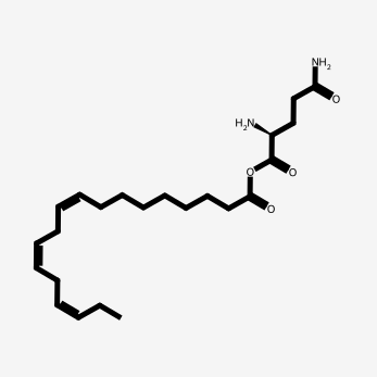 CC/C=C\C/C=C\C/C=C\CCCCCCCC(=O)OC(=O)[C@@H](N)CCC(N)=O